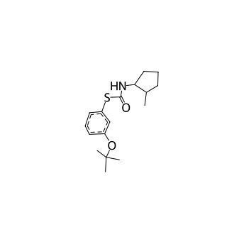 CC1CCCC1NC(=O)Sc1cccc(OC(C)(C)C)c1